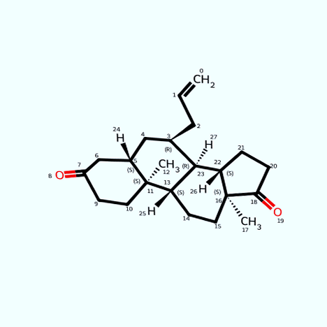 C=CC[C@@H]1C[C@H]2CC(=O)CC[C@]2(C)[C@H]2CC[C@]3(C)C(=O)CC[C@H]3[C@H]12